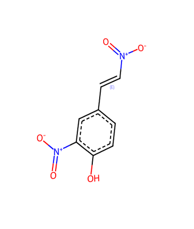 O=[N+]([O-])/C=C/c1ccc(O)c([N+](=O)[O-])c1